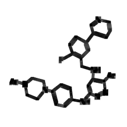 CC(=O)c1nnc(Nc2ccc(N3CCN(C(C)=O)CC3)cc2)cc1NCc1cc(-c2cccnc2)ccc1F